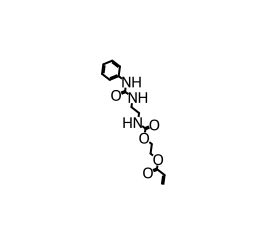 C=CC(=O)OCCOC(=O)NCCNC(=O)Nc1ccccc1